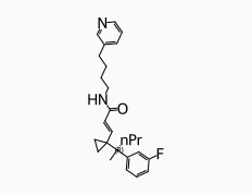 CCC[C@@](C)(c1cccc(F)c1)C1(C=CC(=O)NCCCCc2cccnc2)CC1